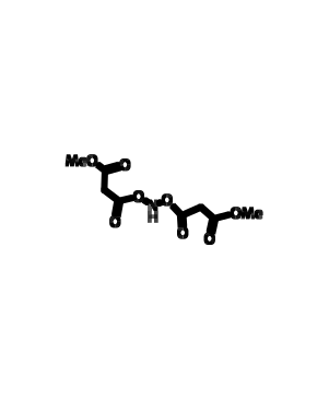 COC(=O)CC(=O)ONOC(=O)CC(=O)OC